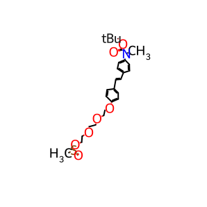 CN(C(=O)OC(C)(C)C)c1ccc(/C=C/c2ccc(OCCOCCOCCOS(C)=O)cc2)cc1